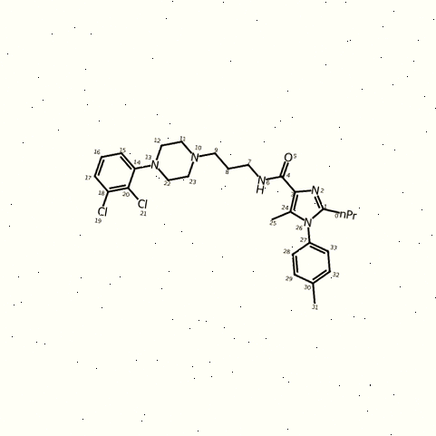 CCCc1nc(C(=O)NCCCN2CCN(c3cccc(Cl)c3Cl)CC2)c(C)n1-c1ccc(C)cc1